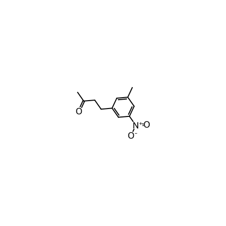 CC(=O)CCc1cc(C)cc([N+](=O)[O-])c1